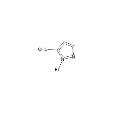 CCn1nccc1C=O